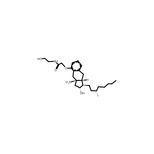 CCCCC[C@H](C)CC[C@H]1[C@H](O)C[C@]2(N)Cc3c(cccc3OCC(=O)NCCO)C[C@H]12